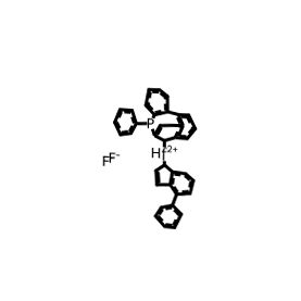 C1=C[CH]([Hf+2][CH]2C3=Cc4c(cccc42)-c2ccccc2P3c2ccccc2)c2cccc(-c3ccccc3)c21.[F-].[F-]